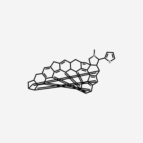 CN1CC23C=C4CC5C=C6Cc7cc8c9c%10c%11c%12c%13c(c%14c2c4c2c(c4c(c6c7c9c4%11)C25)c%14%12)C(=CC2CC(C8)C%10C=%132)C3C1c1cccs1